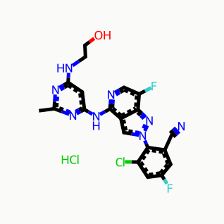 Cc1nc(NCCO)cc(Nc2ncc(F)c3nn(-c4c(Cl)cc(F)cc4C#N)cc23)n1.Cl